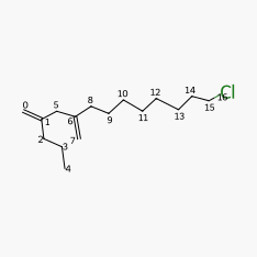 C=C(CCC)CC(=C)CCCCCCCCCl